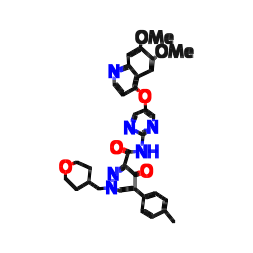 COc1cc2nccc(Oc3cnc(NC(=O)c4nn(CC5CCOCC5)cc(-c5ccc(C)cc5)c4=O)nc3)c2cc1OC